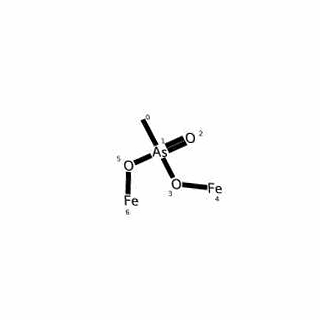 C[As](=O)([O][Fe])[O][Fe]